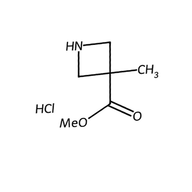 COC(=O)C1(C)CNC1.Cl